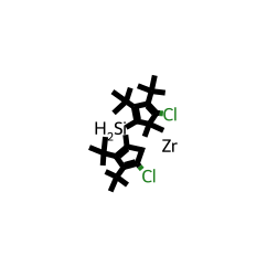 CC(C)(C)C1=C(Cl)CC([SiH2]C2=C(C(C)(C)C)C(C(C)(C)C)=C(Cl)C2(C)C)=C1C(C)(C)C.[Zr]